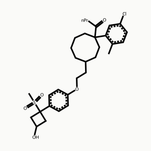 CCCC(=O)C1(c2cc(Cl)ccc2C)CCCCC(CCOc2ccc(C3(S(C)(=O)=O)CC(O)C3)cc2)CC1